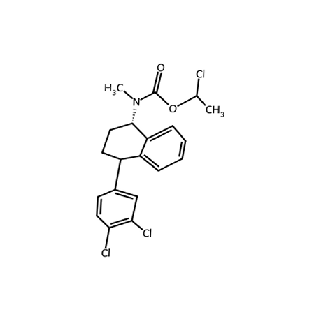 CC(Cl)OC(=O)N(C)[C@H]1CCC(c2ccc(Cl)c(Cl)c2)c2ccccc21